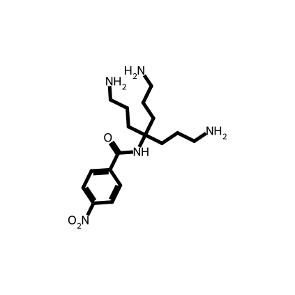 NCCCC(CCCN)(CCCN)NC(=O)c1ccc([N+](=O)[O-])cc1